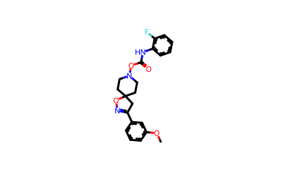 COc1cccc(C2=NOC3(CCN(OC(=O)Nc4ccccc4F)CC3)C2)c1